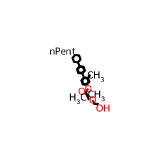 CCCCCC1CCC(c2ccc(-c3ccc(OC(=O)C(C)(C)COCCO)cc3C)cc2)CC1